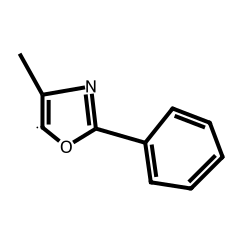 Cc1[c]oc(-c2ccccc2)n1